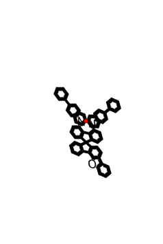 c1ccc(-c2ccc(N(c3ccccc3)c3cccc4c3-c3c(N(c5ccccc5)c5ccc(-c6ccccc6)cc5)cccc3C43c4ccccc4-c4c3ccc3c4oc4ccccc43)cc2)cc1